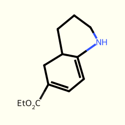 CCOC(=O)C1=CC=C2NCCCC2C1